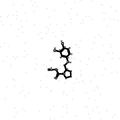 CC(C)(C)OC(=O)N1CCCC1COc1ccc(Cl)c(Cl)c1